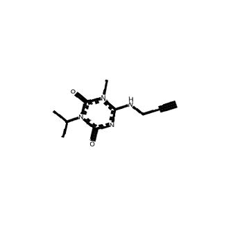 C#CCNc1nc(=O)n(C(C)C)c(=O)n1C